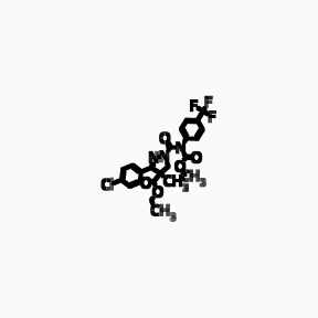 CCOC(=O)C1(C)CN(C(=O)N(C(=O)OC)c2ccc(C(F)(F)F)cc2)N=C1c1ccc(Cl)cc1